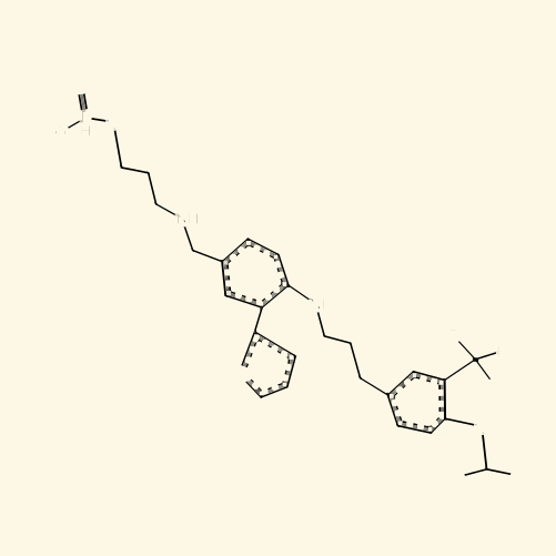 CC(C)Oc1ccc(CCCNc2ccc(CNCCCO[PH](=O)O)cc2-c2ccco2)cc1C(F)(F)F